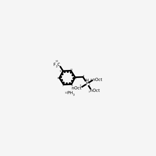 CCCCCCCC[PH](CCCCCCCC)(CCCCCCCC)Cc1cccc(C(F)(F)F)c1.P